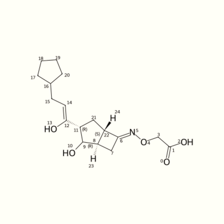 O=C(O)CON=C1C[C@H]2C(O)[C@H](C(O)=CCC3CCCC3)C[C@H]12